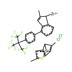 CC1=C2c3sc(C)cc3C1[Si]2(C)C.CC1=Cc2c(-c3ccc(C(C(F)(F)F)(C(F)(F)F)C(F)(F)F)cc3)cccc2[CH]1[Zr+2].[Cl-].[Cl-]